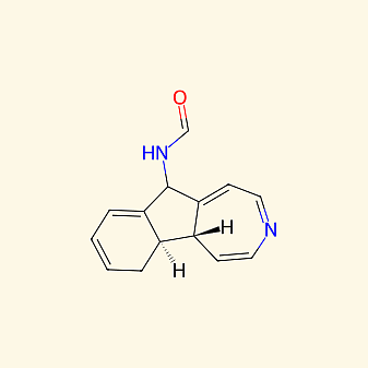 O=CNC1C2=CC=NC=C[C@@H]2[C@H]2CC=CC=C12